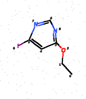 CCOc1cc(I)ncn1